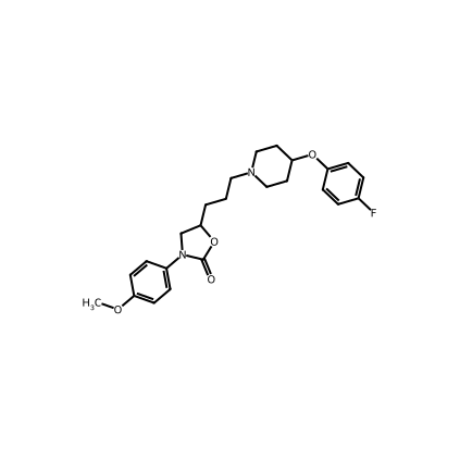 COc1ccc(N2CC(CCCN3CCC(Oc4ccc(F)cc4)CC3)OC2=O)cc1